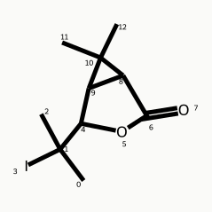 CC(C)(I)C1OC(=O)C2C1C2(C)C